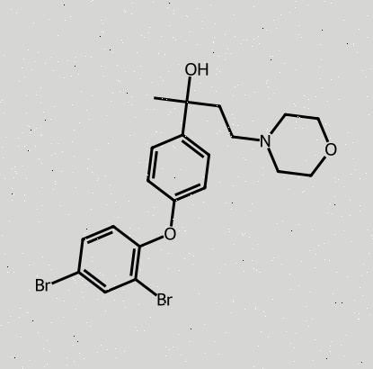 CC(O)(CCN1CCOCC1)c1ccc(Oc2ccc(Br)cc2Br)cc1